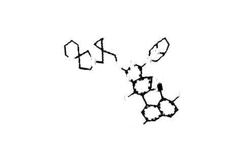 C#Cc1c(F)ccc2cc(O)cc(-c3c(Cl)cc4c(N5CC6CCC(C5)N6)nc(OCC5(CN6CCC7(CCCCO7)C6)CC5)nc4c3F)c12